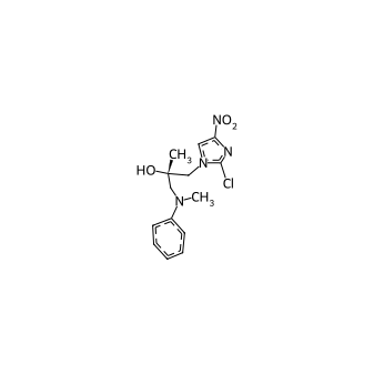 CN(C[C@](C)(O)Cn1cc([N+](=O)[O-])nc1Cl)c1ccccc1